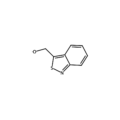 [O]Cc1snc2ccccc12